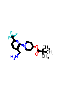 CC(C)(C)C(=O)OC1CCN(c2nc(C(F)(F)F)ccc2CN)CC1